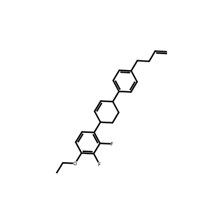 C=CCCc1ccc(C2C=CC(c3ccc(OCC)c(F)c3F)CC2)cc1